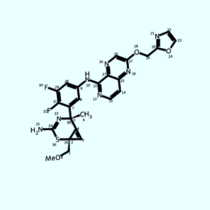 COC[C@]12C=C1[C@@](C)(c1cc(Nc3nccc4nc(OCc5ncco5)cnc34)cc(F)c1F)N=C(N)S2